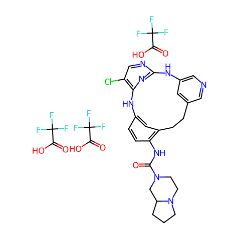 O=C(Nc1ccc2cc1CCc1cncc(c1)Nc1ncc(Cl)c(n1)N2)N1CCN2CCCC2C1.O=C(O)C(F)(F)F.O=C(O)C(F)(F)F.O=C(O)C(F)(F)F